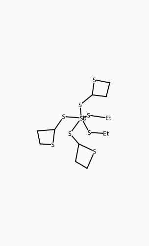 CC[S][Sb]([S]CC)([S]C1CCS1)([S]C1CCS1)[S]C1CCS1